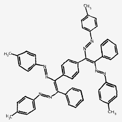 Cc1ccc(N=NC(=C(N=Nc2ccc(C)cc2)c2ccc(C(N=Nc3ccc(C)cc3)=C(N=Nc3ccc(C)cc3)c3ccccc3)cc2)c2ccccc2)cc1